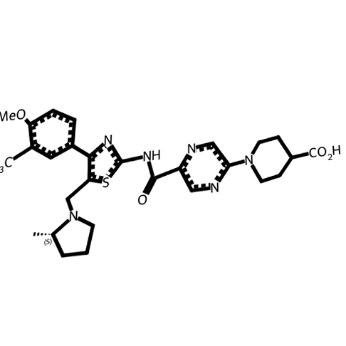 COc1ccc(-c2nc(NC(=O)c3cnc(N4CCC(C(=O)O)CC4)cn3)sc2CN2CCC[C@@H]2C)cc1C(F)(F)F